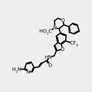 Nc1ccc(C=CC(=O)NCc2cc3cc(C4C(c5ccccc5)OCCN4C(=O)O)cc(C(F)(F)F)c3o2)cn1